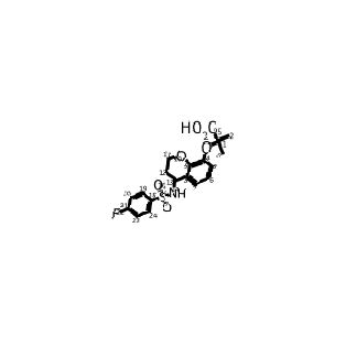 CC(C)(Oc1cccc2c1OCCC2NS(=O)(=O)c1ccc(F)cc1)C(=O)O